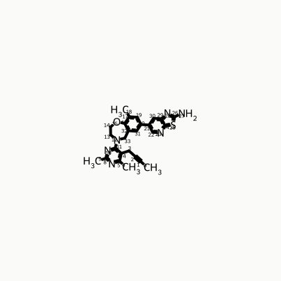 CC#CCc1c(C)nc(C)nc1N1CCOc2c(C)cc(-c3cnc4sc(N)nc4c3)cc2C1